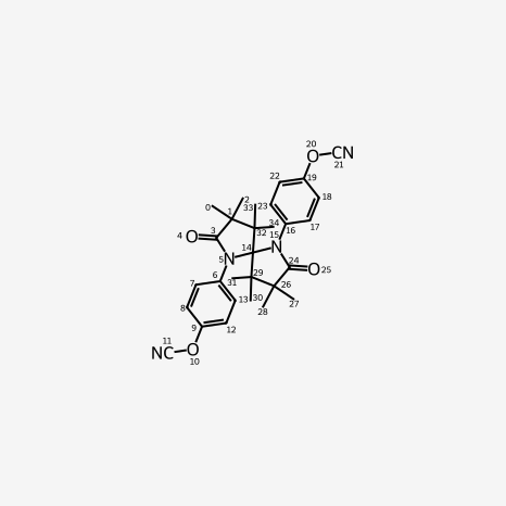 CC1(C)C(=O)N(c2ccc(OC#N)cc2)C2(N(c3ccc(OC#N)cc3)C(=O)C(C)(C)C2(C)C)C1(C)C